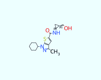 Cc1nn(C2CCCCC2)c2sc(C(=O)N[C@@H]3C[C@H]3CO)cc12